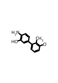 Cc1c(Cl)cccc1-c1ccc(N)c(O)c1